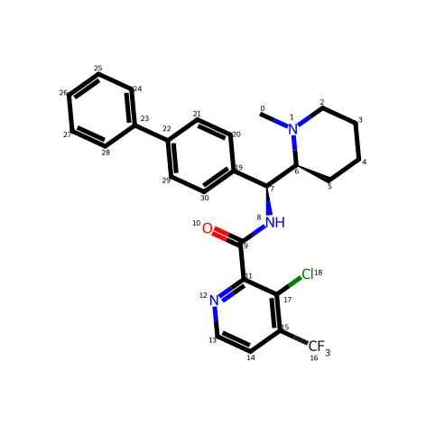 CN1CCCC[C@H]1[C@@H](NC(=O)c1nccc(C(F)(F)F)c1Cl)c1ccc(-c2ccccc2)cc1